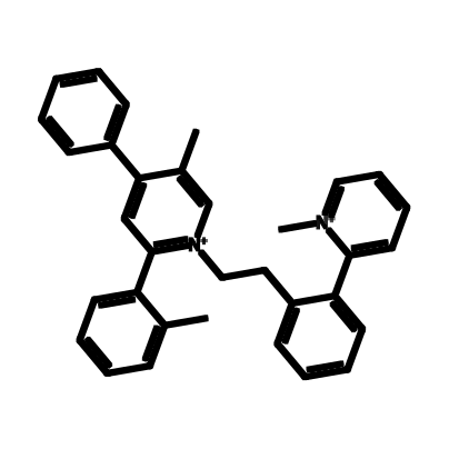 Cc1c[n+](CCc2ccccc2-c2cccc[n+]2C)c(-c2ccccc2C)cc1-c1ccccc1